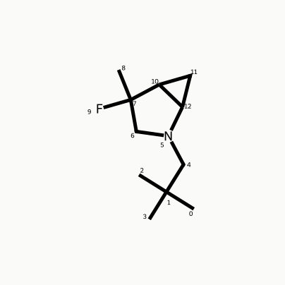 CC(C)(C)CN1CC(C)(F)C2CC21